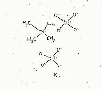 C[N+](C)(C)C.[K+].[O-][Cl+3]([O-])([O-])[O-].[O-][Cl+3]([O-])([O-])[O-]